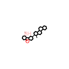 CBc1cccc2oc3ccc(-c4ccc5c(ccc6c7ccccc7ccc56)c4C)cc3c12